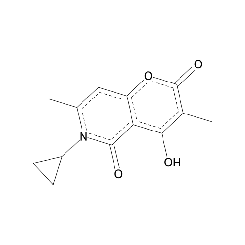 Cc1c(O)c2c(=O)n(C3CC3)c(C)cc2oc1=O